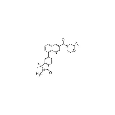 CN1C(=O)c2ccc(-c3cccc4cc(C(=O)N5CCOC6(CC6)C5)cnc34)cc2C12CC2